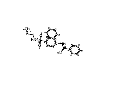 C=CCNS(=O)(=O)c1ccc(NC(=O)c2ccccc2)c2ccccc12